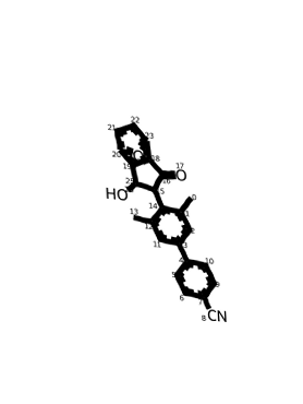 Cc1cc(-c2ccc(C#N)cc2)cc(C)c1C1C(=O)c2c(c3ccc2o3)C1O